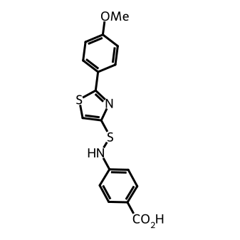 COc1ccc(-c2nc(SNc3ccc(C(=O)O)cc3)cs2)cc1